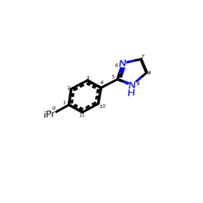 CC(C)c1ccc(C2=NCCN2)cc1